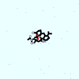 CC(=O)N(O)CC(C)(C)Cc1[nH]c2ccc(C(C)C)c(Cc3ccc(Cl)cc3)c2c1SC(C)(C)C